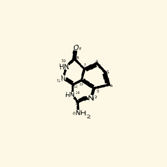 NC1=Nc2cccc3c(=O)[nH]nc(c23)N1